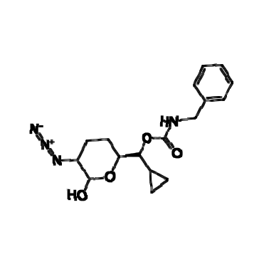 [N-]=[N+]=NC1CC[C@@H](C(OC(=O)NCc2ccccc2)C2CC2)OC1O